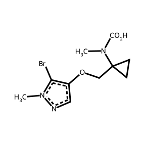 CN(C(=O)O)C1(COc2cnn(C)c2Br)CC1